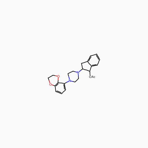 CC(=O)OC1c2ccccc2CC1N1CCN(c2cccc3c2OCCO3)CC1